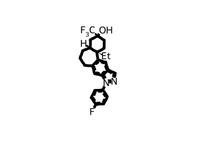 CC[C@@]12CC[C@](O)(C(F)(F)F)C[C@H]1CCCc1cc3c(cnn3-c3ccc(F)cc3)cc12